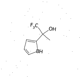 CC(O)(C1=CC=CB1)C(F)(F)F